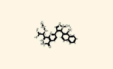 [C-]#[N+]c1c(-c2c(-c3ccc4c(=O)[nH]nc(C(N=[N+]=[N-])C(F)F)c4n3)cnn2C)ccc2ccccc12